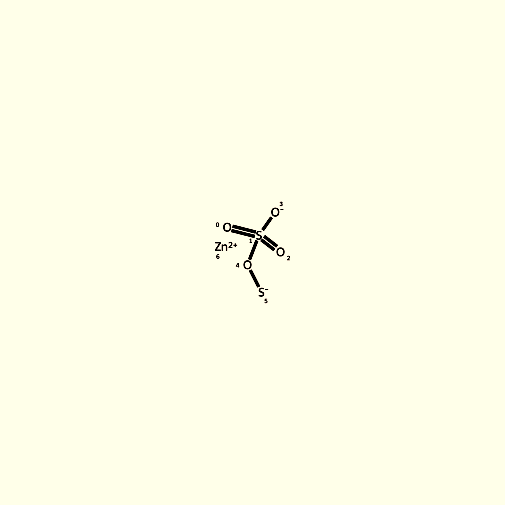 O=S(=O)([O-])O[S-].[Zn+2]